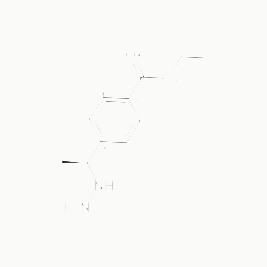 CCOC(=O)c1ccc([C@H](C)NN)cc1